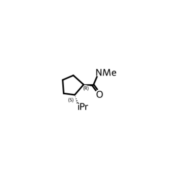 CNC(=O)[C@@H]1CCC[C@H]1C(C)C